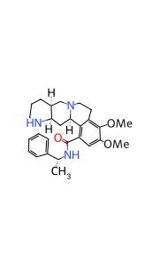 COc1cc(C(=O)N[C@H](C)c2ccccc2)c2c(c1OC)CCN1C[C@@H]3CCCN[C@@H]3C[C@H]21